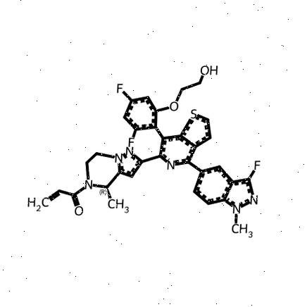 C=CC(=O)N1CCn2nc(-c3nc(-c4ccc5c(c4)c(F)nn5C)c4ccsc4c3-c3c(F)cc(F)cc3OCCO)cc2[C@H]1C